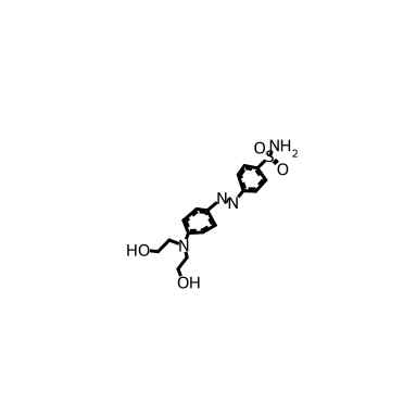 NS(=O)(=O)c1ccc(N=Nc2ccc(N(CCO)CCO)cc2)cc1